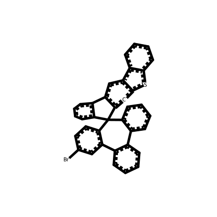 Brc1ccc2c(c1)-c1ccccc1-c1ccccc1C21c2ccccc2-c2cc3c(cc21)sc1ccccc13